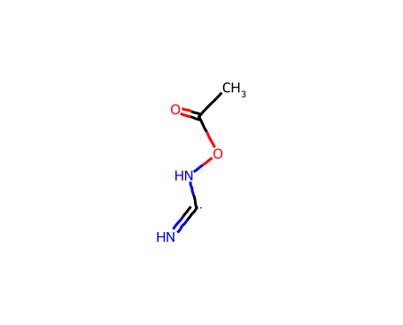 CC(=O)ON[C]=N